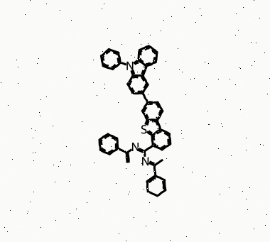 C=C(/N=C(\N=C(/C)C1=CCCC=C1)c1cccc2c1sc1cc(-c3ccc4c(c3)c3ccccc3n4-c3ccccc3)ccc12)c1ccccc1